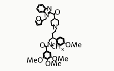 COc1ccc(C(CCN2CCC(C(=O)c3nc4ccccc4n3Cc3ccco3)CC2)CN(C)C(=O)c2cc(OC)c(OC)c(OC)c2)cc1